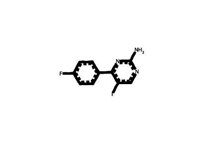 Nc1ncc(I)c(-c2ccc(F)cc2)n1